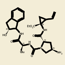 C=CC1C[C@]1(NC(=O)[C@@H]1C[C@@H](N)CN1C(=O)N[C@H](C(=O)NC1c2ccccc2C[C@H]1O)C(C)(C)C)C(=O)OCC